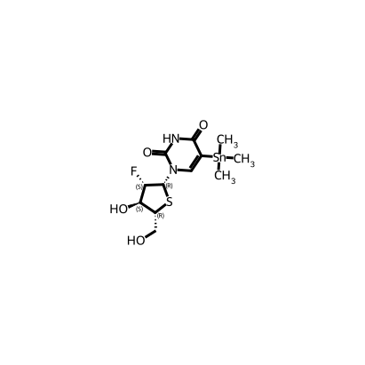 [CH3][Sn]([CH3])([CH3])[c]1cn([C@@H]2S[C@H](CO)[C@@H](O)[C@@H]2F)c(=O)[nH]c1=O